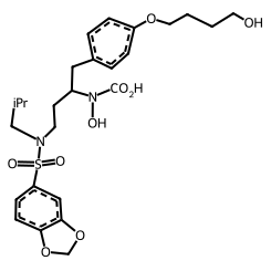 CC(C)CN(CCC(Cc1ccc(OCCCCO)cc1)N(O)C(=O)O)S(=O)(=O)c1ccc2c(c1)OCO2